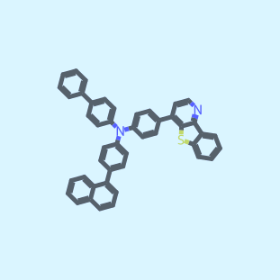 c1ccc(-c2ccc(N(c3ccc(-c4cccc5ccccc45)cc3)c3ccc(-c4ccnc5c4sc4ccccc45)cc3)cc2)cc1